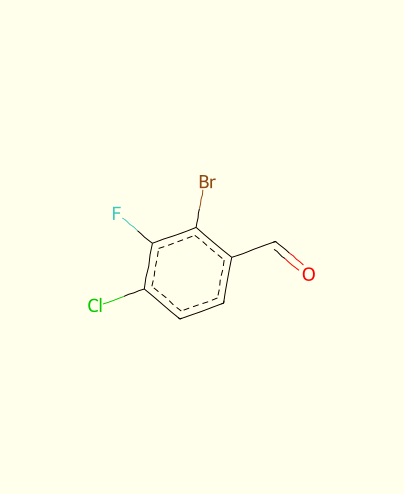 O=Cc1ccc(Cl)c(F)c1Br